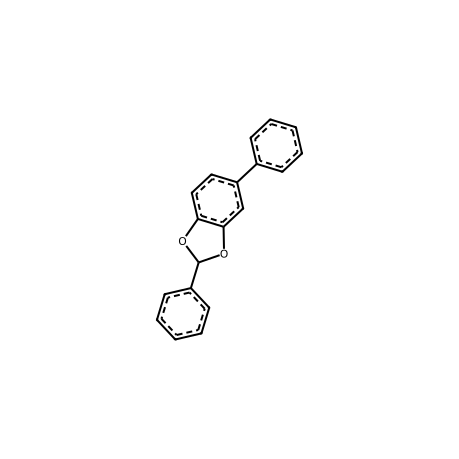 c1ccc(-c2ccc3c(c2)OC(c2ccccc2)O3)cc1